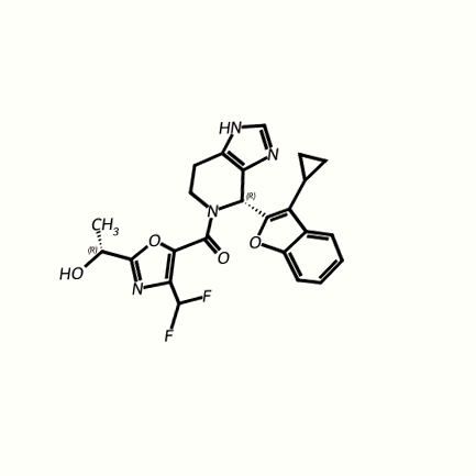 C[C@@H](O)c1nc(C(F)F)c(C(=O)N2CCc3[nH]cnc3[C@@H]2c2oc3ccccc3c2C2CC2)o1